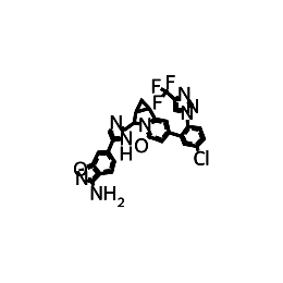 Nc1noc2cc(-c3cnc(C4C5CC5c5cc(-c6cc(Cl)ccc6-n6cc(C(F)(F)F)nn6)cc(=O)n54)[nH]3)ccc12